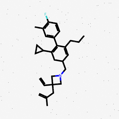 C=CC1(CC(=C)C)CN(CC2C=C(CCC)C(c3ccc(F)c(C)c3)=C(C3CC3)C2)C1